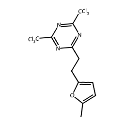 Cc1ccc(CCc2nc(C(Cl)(Cl)Cl)nc(C(Cl)(Cl)Cl)n2)o1